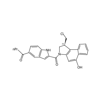 CCCC(=O)c1ccc2[nH]c(C(=O)N3C[C@@H](CCl)c4c3cc(O)c3ccccc43)cc2c1